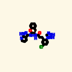 O=C(/C=C/c1cc(Cl)ccc1N1C=NNN1)N[C@@H](Cc1ccccc1)C(=O)Nc1n[nH]c2ncccc12